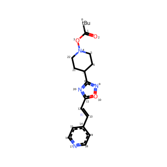 CC(C)(C)C(=O)ON1CCC(c2noc(/C=C/c3ccncc3)n2)CC1